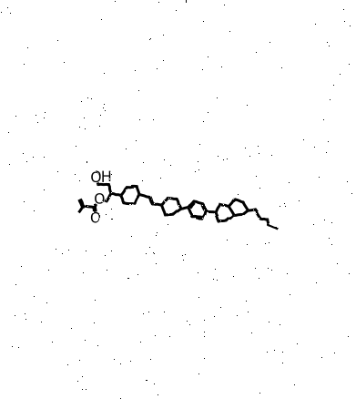 C=C(C)C(=O)OCC(CCO)C1CCC(CCC2CCC(c3ccc(C4CCC5CC(CCCCC)CCC5C4)cc3)CC2)CC1